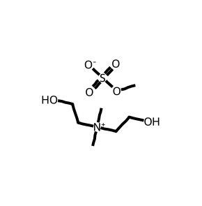 COS(=O)(=O)[O-].C[N+](C)(CCO)CCO